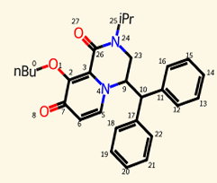 CCCCOc1c2n(ccc1=O)C(C(c1ccccc1)c1ccccc1)CN(C(C)C)C2=O